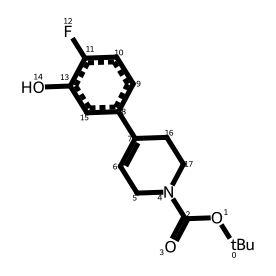 CC(C)(C)OC(=O)N1CC=C(c2ccc(F)c(O)c2)CC1